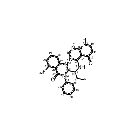 CC[C@H](Nc1ncnc2[nH]ccc(=O)c12)c1nc2cccc(F)c2c(=O)n1-c1ccccc1